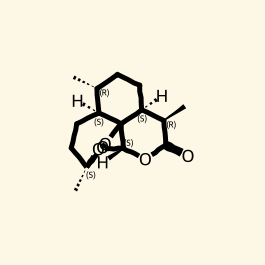 C[C@@H]1CC[C@H]2[C@@H](C)C(=O)O[C@@H]3O[C@]4(C)CC[C@@H]1C32OO4